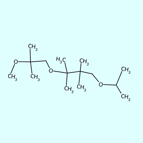 COC(C)(C)COC(C)(C)C(C)(C)COC(C)C